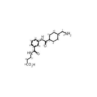 NCC1CCC(C(=O)Nc2cccc(C(=O)NCCC(=O)O)c2)CC1